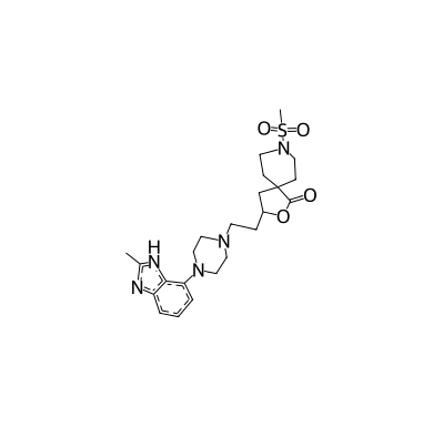 Cc1nc2cccc(N3CCN(CCC4CC5(CCN(S(C)(=O)=O)CC5)C(=O)O4)CC3)c2[nH]1